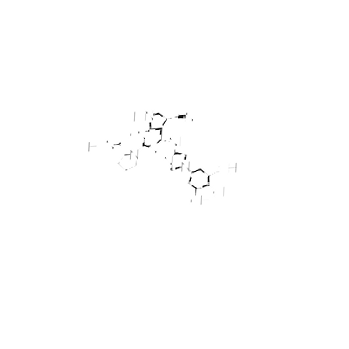 Cc1cc(-n2cnc(Nc3nc(N4CCC[C@H]4C(N)=O)nc4[nH]cc(C#N)c34)c2)cc(C)c1C